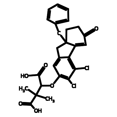 CC(C)(C(=O)O)C(Oc1cc2c(c(Cl)c1Cl)C1=CC(=O)CCC1(Cc1ccccc1)C2)C(=O)O